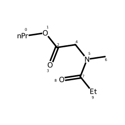 CCCOC(=O)CN(C)C(=O)CC